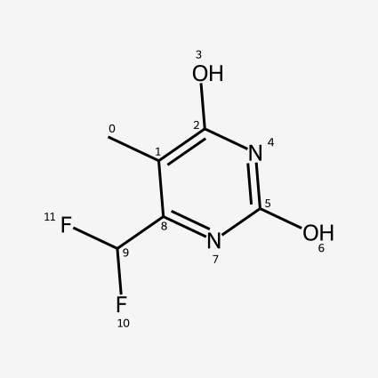 Cc1c(O)nc(O)nc1C(F)F